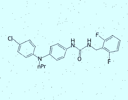 CCCN(c1ccc(Cl)cc1)c1ccc(NC(=O)NCc2c(F)cccc2F)cc1